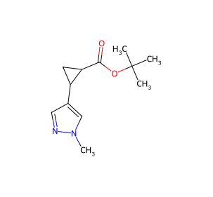 Cn1cc(C2CC2C(=O)OC(C)(C)C)cn1